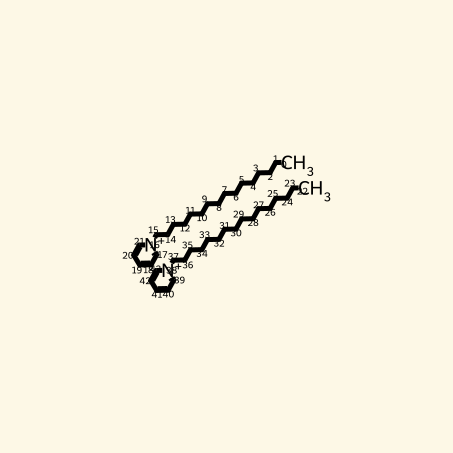 CCCCCCCCCCCCCCCC[n+]1ccccc1.CCCCCCCCCCCCCCCC[n+]1ccccc1